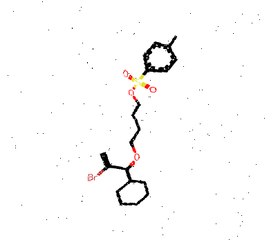 C=C(Br)C(OCCCCOS(=O)(=O)c1ccc(C)cc1)C1CCCCC1